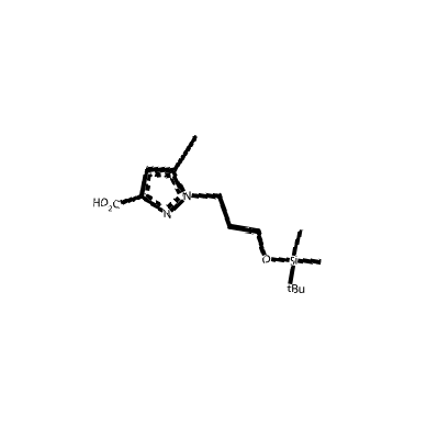 Cc1cc(C(=O)O)nn1CCCO[Si](C)(C)C(C)(C)C